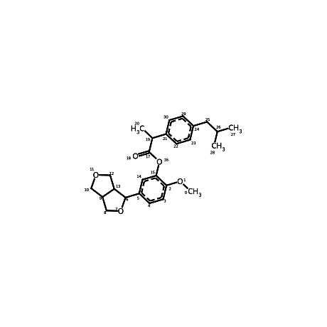 COc1ccc(C2OCC3COCC32)cc1OC(=O)C(C)c1ccc(CC(C)C)cc1